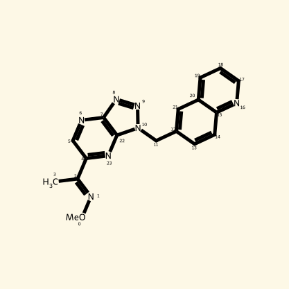 CON=C(C)c1cnc2nnn(Cc3ccc4ncccc4c3)c2n1